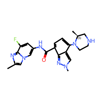 Cc1cn2cc(NC(=O)c3ccc(N4CCNC[C@@H]4C)c4cn(C)nc34)cc(F)c2n1